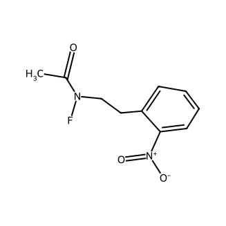 CC(=O)N(F)CCc1ccccc1[N+](=O)[O-]